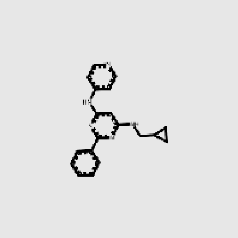 c1ccc(-c2nc(NCC3CC3)cc(Nc3ccncc3)n2)cc1